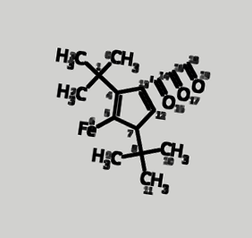 CC(C)(C)C1=[C]([Fe])C(C(C)(C)C)C=C1.[C]=O.[C]=O.[C]=O